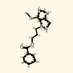 CSc1ncnc2cnn(CCCOC(=O)c3ccccc3)c12